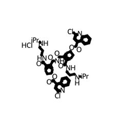 CC(C)NCCCNC(=O)C1C2CC(OC(=O)c3cc(Cl)nc4ccccc34)C(C2)C1C(=O)NC(=O)C1C2CC(CC2OC(=O)c2cc(Cl)nc3ccccc23)C1C(=O)NCCCNC(C)C.Cl